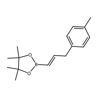 Cc1ccc(C/C=C/B2OC(C)(C)C(C)(C)O2)cc1